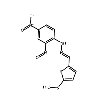 CSc1ccc(/C=N/Nc2ccc([N+](=O)[O-])cc2N=O)s1